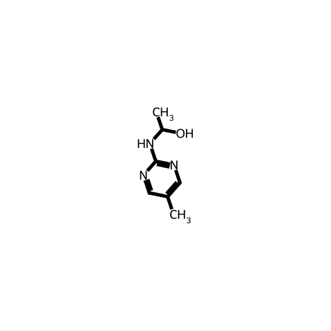 Cc1cnc(NC(C)O)nc1